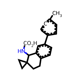 Cc1ccc(-c2ccc3c(c2)C(NC(=O)O)C2(CC3)CC2)cc1